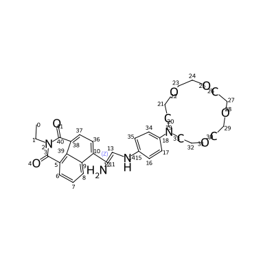 CCN1C(=O)c2cccc3c(/C(N)=C/Nc4ccc(N5CCOCCOCCOCCOCC5)cc4)ccc(c23)C1=O